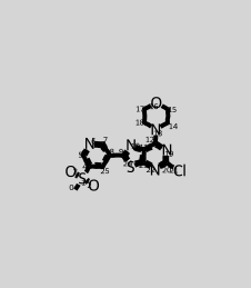 CS(=O)(=O)c1cncc(-c2nc3c(N4CCOCC4)nc(Cl)nc3s2)c1